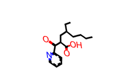 CCCCC(CC)CC(C(=O)O)C(=O)c1ccccn1